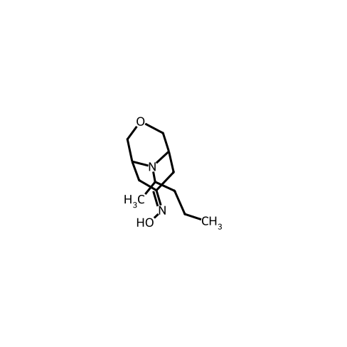 CCCC(C)N1C2COCC1CC(=NO)C2